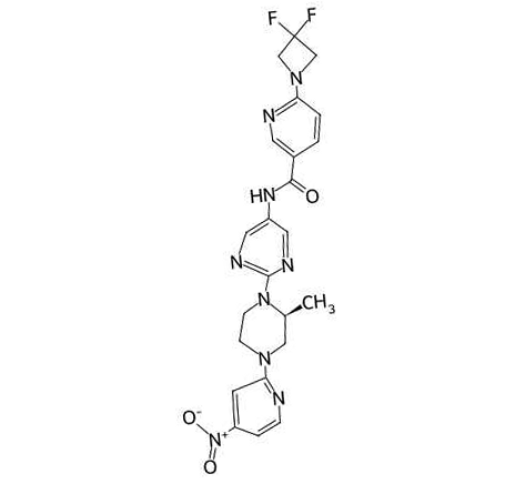 C[C@H]1CN(c2cc([N+](=O)[O-])ccn2)CCN1c1ncc(NC(=O)c2ccc(N3CC(F)(F)C3)nc2)cn1